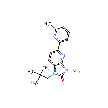 Cc1cccc(-c2ccc3c(n2)n(C)c(=O)n3CC(C)(C)C)n1